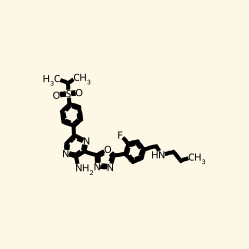 CCCNCc1ccc(-c2nnc(-c3nc(-c4ccc(S(=O)(=O)C(C)C)cc4)cnc3N)o2)c(F)c1